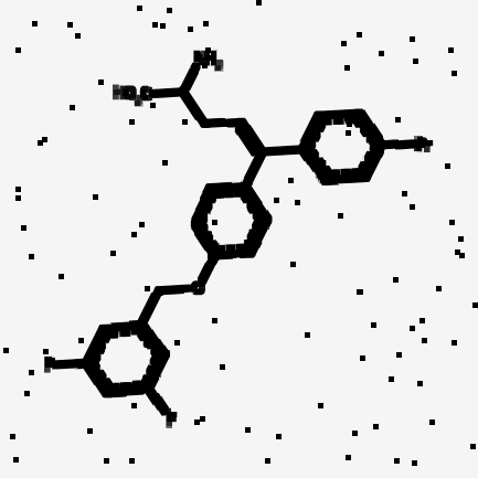 CC(C)c1ccc(C(=CCC(N)C(=O)O)c2ccc(OCc3cc(F)cc(F)c3)cc2)cc1